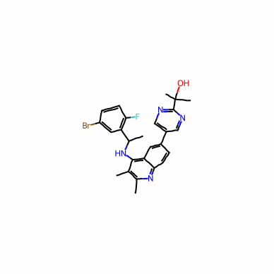 Cc1nc2ccc(-c3cnc(C(C)(C)O)nc3)cc2c(NC(C)c2cc(Br)ccc2F)c1C